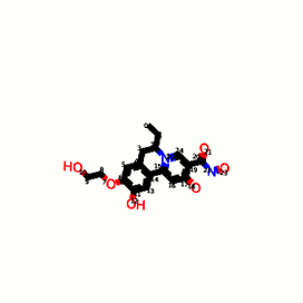 CCC1Cc2cc(OCCO)c(O)cc2-c2cc(=O)c(C(=O)N=O)cn21